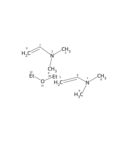 C=CN(C)C.C=CN(C)C.CCOCC